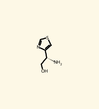 N[C@H](CO)c1cscn1